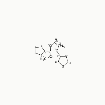 COC(OC)(C1CCCC1)C(C)C1CCCC1